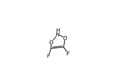 FC1=C(F)ONO1